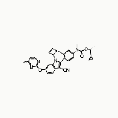 Cc1ccnc(Oc2ccc3c(C#N)c(-c4ccc(NC(=O)O[C@H](C)C5CC5)cc4C)n(C4CCC4)c3c2)n1